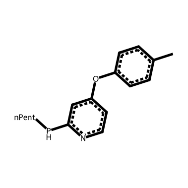 CCCCCPc1cc(Oc2ccc(C)cc2)ccn1